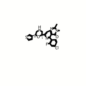 Cc1nc2cc([C@]3(C)CNC[C@H](c4ccsc4)O3)nc(-c3ccc(Cl)cc3F)c2c(=O)n1C